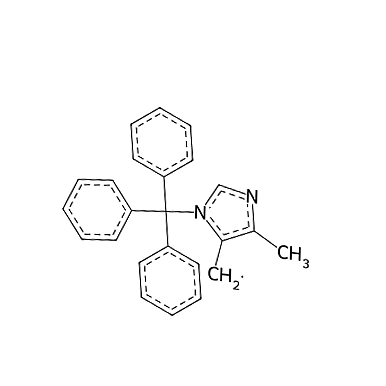 [CH2]c1c(C)ncn1C(c1ccccc1)(c1ccccc1)c1ccccc1